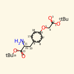 CC(C)(C)OC(=O)COc1ccc(C[C@H](N)C(=O)OC(C)(C)C)cc1